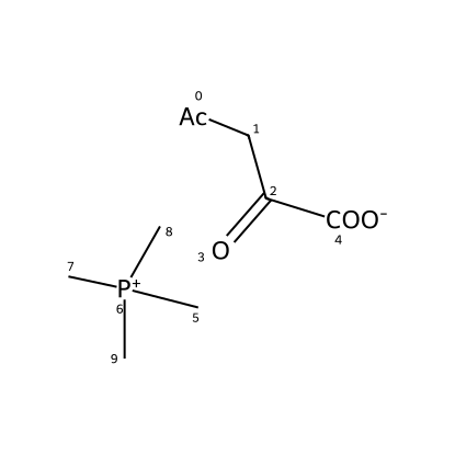 CC(=O)CC(=O)C(=O)[O-].C[P+](C)(C)C